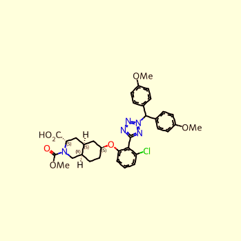 COC(=O)N1C[C@@H]2CC[C@H](Oc3cccc(Cl)c3-c3nnn(C(c4ccc(OC)cc4)c4ccc(OC)cc4)n3)C[C@@H]2C[C@H]1C(=O)O